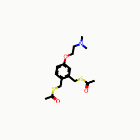 CC(=O)SCc1ccc(OCCN(C)C)cc1CSC(C)=O